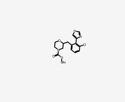 CC(C)(C)OC(=O)N1CCOC(Cc2cccc(Cl)c2-c2cocn2)C1